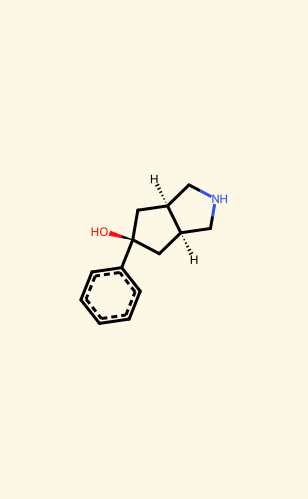 O[C@@]1(c2ccccc2)C[C@H]2CNC[C@H]2C1